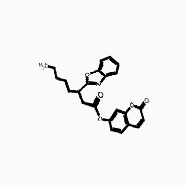 CCCCCC(CC(=O)Oc1ccc2ccc(=O)oc2c1)c1nc2ccccc2o1